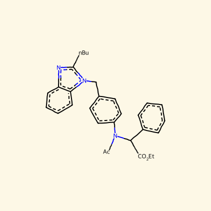 CCCCc1nc2ccccc2n1Cc1ccc(N(C(C)=O)C(C(=O)OCC)c2ccccc2)cc1